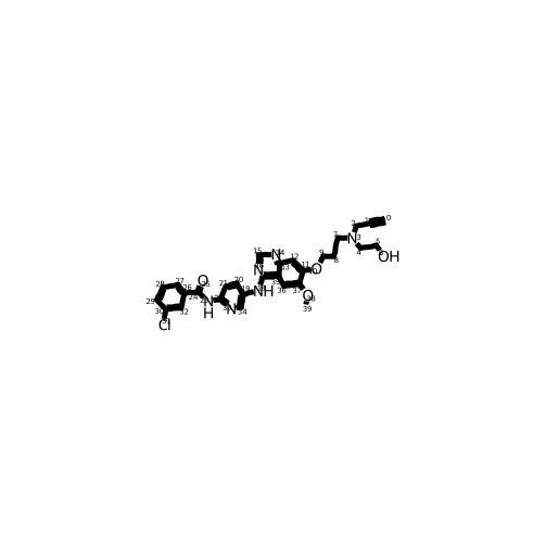 C#CCN(CCO)CCCOc1cc2ncnc(Nc3ccc(NC(=O)c4cccc(Cl)c4)nc3)c2cc1OC